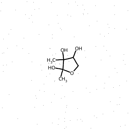 CC1(O)OCC(O)C1(C)O